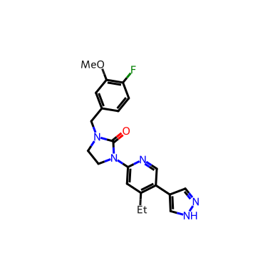 CCc1cc(N2CCN(Cc3ccc(F)c(OC)c3)C2=O)ncc1-c1cn[nH]c1